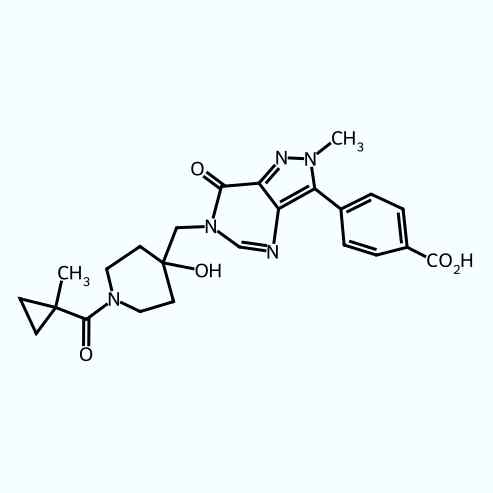 Cn1nc2c(=O)n(CC3(O)CCN(C(=O)C4(C)CC4)CC3)cnc2c1-c1ccc(C(=O)O)cc1